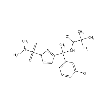 CN(C)S(=O)(=O)n1ccc(C(C)(N[S+]([O-])C(C)(C)C)c2cccc(Cl)c2)n1